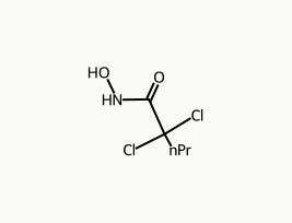 CCCC(Cl)(Cl)C(=O)NO